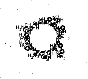 COC[C@@H]1NC(=O)[C@H](Cc2c[nH]c3ccccc23)NC(=O)[C@H](CC(=O)O)NC(=O)[C@H](Cc2ccc(OCC(=O)O)cc2)NC(=O)[C@H](CN)NC(=O)CSC[C@@H](C(=O)N[C@@H](C)C(N)=O)NC(=O)[C@H]([C@@H](C)O)NC(=O)[C@H](C(C)C)NC(=O)[C@H](CC2CCCCC2)NC(=O)[C@H](CCN)NC(=O)[C@@H](CC(C)C)NC(=O)[C@H](CCCN)NC(=O)[C@H](CCCNC(N)=O)NC(=O)[C@H](Cc2ccc(-c3ccccc3)cc2)NC1=O